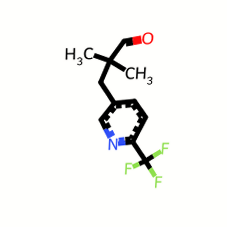 CC(C)(C=O)Cc1ccc(C(F)(F)F)nc1